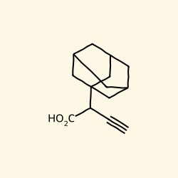 C#CC(C(=O)O)C12CC3CC(CC(C3)C1)C2